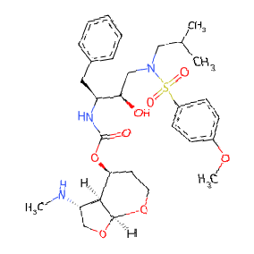 CN[C@H]1CO[C@@H]2OCC[C@H](OC(=O)N[C@@H](Cc3ccccc3)[C@H](O)CN(CC(C)C)S(=O)(=O)c3ccc(OC)cc3)[C@@H]21